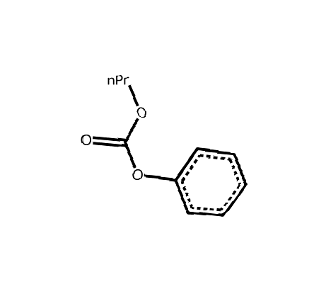 [CH2]CCOC(=O)Oc1ccccc1